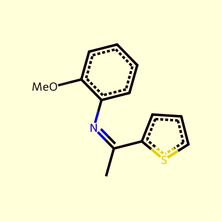 COc1ccccc1N=C(C)c1cccs1